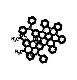 CC(C)c1cc(C(C)C)c(B2c3ccccc3N(c3ccccc3)c3cc4c(cc32)B2c3ccc(N(c5ccccc5)c5ccccc5)cc3N3c5ccccc5B5c6ccccc6N6c7ccccc7B7c8ccccc8N4c4c7c6c5c3c42)c(C(C)C)c1